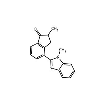 CC1Cc2c(cccc2-c2nc3ccccc3n2C)C1=O